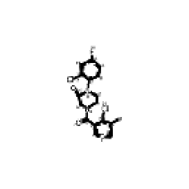 Cc1cccc(C(=O)N2CCN(c3ccc(F)cc3Cl)C(=O)C2)c1Cl